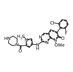 COn1c(=O)c(-c2c(F)cccc2Cl)cc2cnc(Nc3cc(C(=O)N4CCNCC4)n(C)c3)nc21